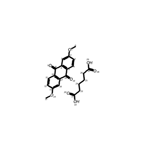 COc1ccc2c(c1)C(=O)c1ccc(OC)cc1C2=O.O=C(O)CCCCC(=O)O